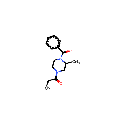 CC1CN(C(=O)CC#N)CCN1C(=O)c1ccccc1